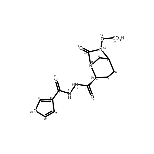 O=C(NNC(=O)[C@@H]1CCC2CN1C(=O)N2OS(=O)(=O)O)c1ccoc1